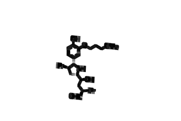 COCCCOc1cc([C@@H]2N[C@H]([C@@H](O)C[C@H](C=O)C(C)C)C[C@H]2C(C)C)ccc1O